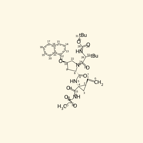 C=C[C@H]1C[C@@]1(NC(=O)[C@@H]1C[C@@H](Oc2cccc3ccccc23)CN1C(=O)C(NC(=O)OC(C)(C)C)C(C)(C)C)C(=O)NS(C)(=O)=O